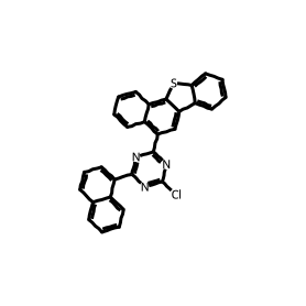 Clc1nc(-c2cccc3ccccc23)nc(-c2cc3c4ccccc4sc3c3ccccc23)n1